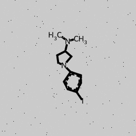 CN(C)C1CCN(c2ccc(I)cc2)C1